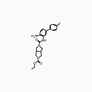 CCOC(=O)N1CC2CN(C(=O)Nc3cc(-c4ccc(F)cc4)ccc3N)CC2C1